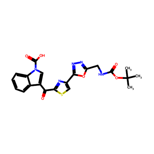 CC(C)(C)OC(=O)NCc1nnc(-c2csc(C(=O)c3cn(C(=O)O)c4ccccc34)n2)o1